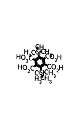 C[Si](C)(C)c1c(C(=O)O)c(C(=O)O)c([Si](C)(C)C)c(C(=O)O)c1C(=O)O